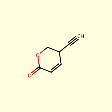 C#CC1C=CC(=O)OC1